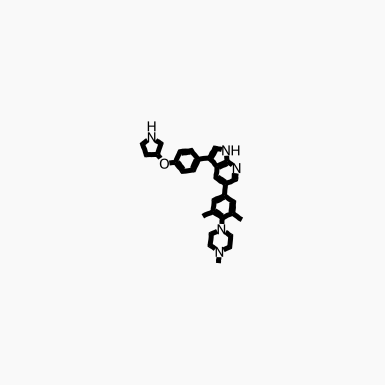 Cc1cc(-c2cnc3[nH]cc(-c4ccc(OC5CCNC5)cc4)c3c2)cc(C)c1N1CCN(C)CC1